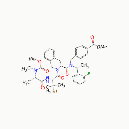 COC(=O)c1ccc(CN(C(=O)[C@@H]2Cc3ccccc3CN2C(=O)[C@@H](NC(=O)[C@H](C)N(C)C(=O)OC(C)(C)C)C(C)(C)S)[C@H](C)c2ccccc2F)cc1